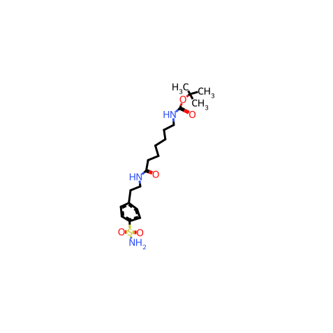 CC(C)(C)OC(=O)NCCCCCCC(=O)NCCc1ccc(S(N)(=O)=O)cc1